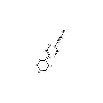 CCC#Cc1ccc(N2CCCCC2)cc1